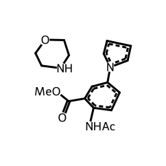 C1COCCN1.COC(=O)c1cc(-n2cccc2)ccc1NC(C)=O